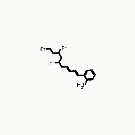 CC(C)CCC(CC(CC=CC=Cc1ccccc1P)C(C)C)C(C)C